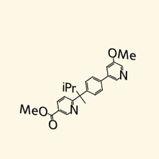 COC(=O)c1ccc(C(C)(c2ccc(-c3cncc(OC)c3)cc2)C(C)C)nc1